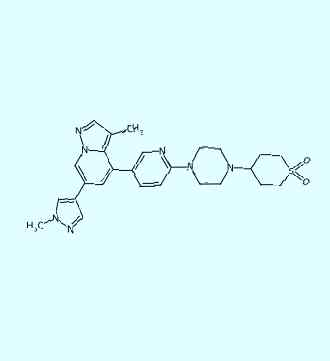 Cc1cnn2cc(-c3cnn(C)c3)cc(-c3ccc(N4CCN(C5CCS(=O)(=O)CC5)CC4)nc3)c12